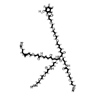 Cc1c(F)c(F)c(F)c(F)c1OC(=O)CCOCCOCCOCCOCCCCCC(=O)[C@H](CCCCNC(=O)CCOCCOCCN=[N+]=[N-])NC(=O)[C@H](CCCCNC(=O)CCOCCOCCN=[N+]=[N-])CCC(=O)CCCNC(=O)CCOCCC1CC1CCN=[N+]=[N-]